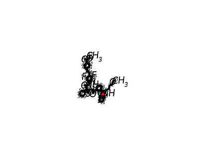 COCCCCNC(=O)N1C2CCC1CN(Cc1cccc(C(=O)Nc3sc4c(c3C(=O)Nc3cc(F)c(CCc5ccc(C(=O)OC)cc5)c(F)c3)CCCC4)c1)C2